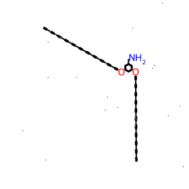 C#CC#CC#CC#CC#CC#CC#CC#CC#CC#CC#COc1cc(CN)cc(OC#CC#CC#CC#CC#CC#CC#CC#CC#CC#CC#C)c1